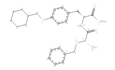 COC(=O)[C@H](Cc1ccc(OCC2CCCCC2)cc1)NC(=O)[C@@H](OCc1ccccc1)C(C)(C)C